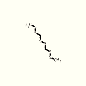 CSSCSSCSSC